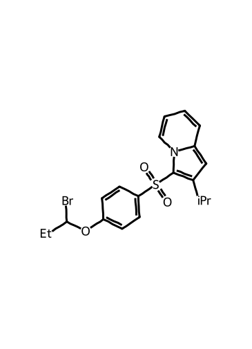 CCC(Br)Oc1ccc(S(=O)(=O)c2c(C(C)C)cc3ccccn23)cc1